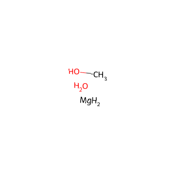 CO.O.[MgH2]